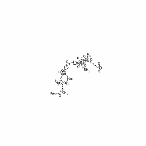 CCC[C@@H](C)[C@H]1O[C@@H]1C[C@H](C)/C=C/C=C(\C)[C@H]1OC(=O)C[C@H](O)CC[C@@](C)(OC(=O)N2CCN(C(=O)OCc3ccc(NC(=O)[C@H](CC(N)=O)NC(=O)[C@H](C)NC(=O)[C@H](C)NC(=O)CCCCCN4C(=O)C=CC4=O)cc3)CC2)C/C=C/[C@@H]1C